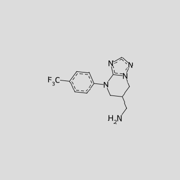 NCC1CN(c2ccc(C(F)(F)F)cc2)c2ncnn2C1